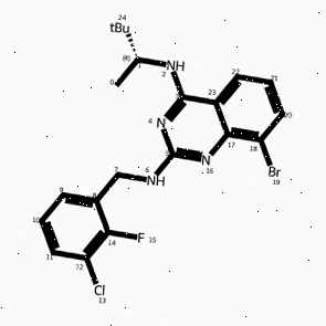 C[C@@H](Nc1nc(NCc2cccc(Cl)c2F)nc2c(Br)cccc12)C(C)(C)C